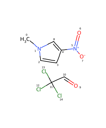 Cn1ccc([N+](=O)[O-])c1.O=CC(Cl)(Cl)Cl